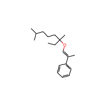 CCC(C)(CCCC(C)C)OC=C(C)c1ccccc1